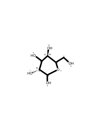 OCC1OC(O)[C@H](O)C(O)[C@H]1O